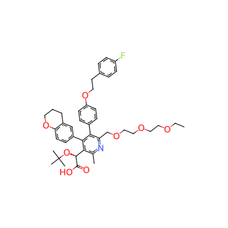 CCOCCOCCOCc1nc(C)c([C@H](OC(C)(C)C)C(=O)O)c(-c2ccc3c(c2)CCCO3)c1-c1ccc(OCCc2ccc(F)cc2)cc1